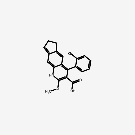 COC1=C(C(=O)O)C(c2ccccc2Cl)=c2cc3c(cc2N1)=CCC3